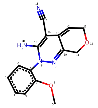 COc1ccccc1N1N=C2COCC=C2C(C#N)=C1N